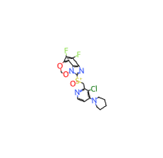 [O-][S+](Cc1nccc(N2CCCCC2)c1Cl)c1nc2c(F)c(F)c3cc2n1OCO3